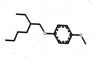 CCCCC(CC)COc1[c]cc(OC)[c]c1